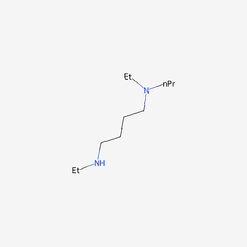 CCCN(CC)CCCCNCC